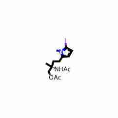 CC(=O)N[C@](C)(CCc1ccc(I)n1C)COC(C)=O